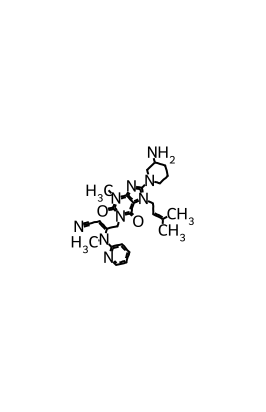 CC(C)=CCn1c(N2CCCC(N)C2)nc2c1c(=O)n(CC(=CC#N)N(C)c1ccccn1)c(=O)n2C